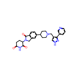 O=C1CCC(N2Cc3cc(C4CCN(Cc5c[nH]nc5-c5cccnc5)CC4)ccc3C2=O)C(=O)N1